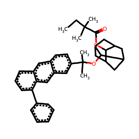 CCC(C)(C)C(=O)OC1C2CC3CC1CC(C2)C3OC(C)(C)c1ccc2cc3cccc(-c4ccccc4)c3cc2c1